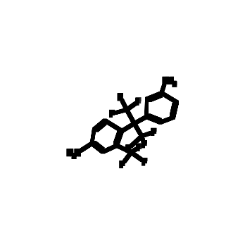 Nc1cccc(C(c2ccc(N)cc2C(F)(F)F)(C(F)(F)F)C(F)(F)F)c1